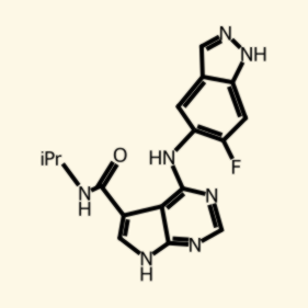 CC(C)NC(=O)c1c[nH]c2ncnc(Nc3cc4cn[nH]c4cc3F)c12